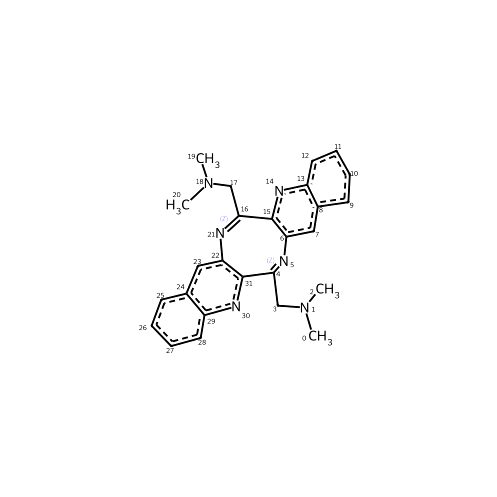 CN(C)C/C1=N/c2cc3ccccc3nc2/C(CN(C)C)=N\c2cc3ccccc3nc21